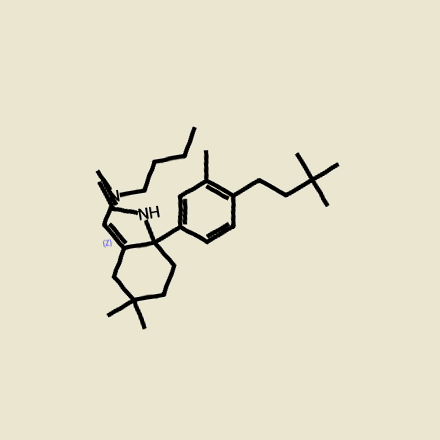 C=CNC1(c2ccc(CCC(C)(C)C)c(C)c2)CCC(C)(C)C/C1=C/N(C)CCCC